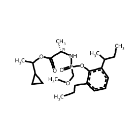 CCCc1cccc(C(C)CC)c1OP(=O)(COC)N[C@@H](C)C(=O)OC(C)C1CC1